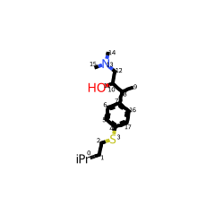 CC(C)CCSc1ccc(C(C)C(O)CN(C)C)cc1